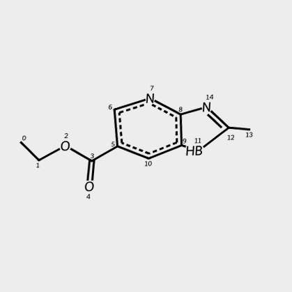 CCOC(=O)c1cnc2c(c1)BC(C)=N2